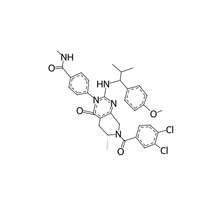 CNC(=O)c1ccc(-n2c(NC(c3ccc(OC)cc3)C(C)C)nc3c(c2=O)C[C@@H](C)N(C(=O)c2ccc(Cl)c(Cl)c2)C3)cc1